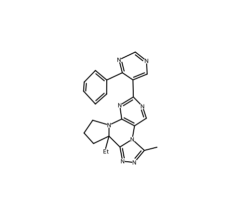 CCC12CCCN1c1nc(-c3cncnc3-c3ccccc3)ncc1-n1c(C)nnc12